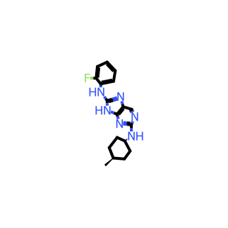 C[C@H]1CC[C@H](Nc2ncc3nc(Nc4ccccc4F)[nH]c3n2)CC1